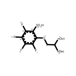 CCCCCCCCCCC(CCCCCCCC)COc1c(F)c(F)c(F)c(F)c1S(=O)(=O)O